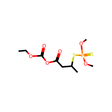 CCOC(=O)OC(=O)CC(C)SP(=S)(OC)OC